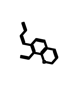 C=C/C=C\c1ccc2c(c1C=C)OCC=C2